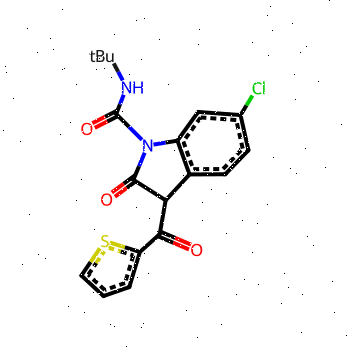 CC(C)(C)NC(=O)N1C(=O)C(C(=O)c2cccs2)c2ccc(Cl)cc21